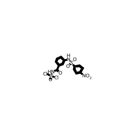 O=C(NP(=O)(Cl)Cl)c1cccc(NS(=O)(=O)c2ccc([N+](=O)[O-])cc2)c1